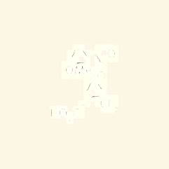 COc1ccccc1C1=C(COc2ccc(CCC(=O)O)c(C(F)(F)F)c2)COCC1